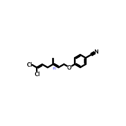 C/C(=C\COc1ccc(C#N)cc1)CC=C(Cl)Cl